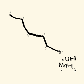 [CH2]CCCCC.[LiH].[MgH2]